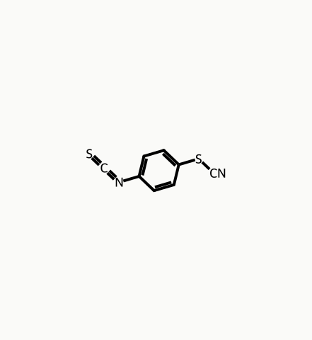 N#CSc1ccc(N=C=S)cc1